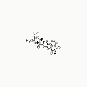 CC(C)CN1CCN(C(=O)c2cc(Cn3c(=O)[nH]c(=O)c4ccccc43)ccc2F)C[C@H]1C